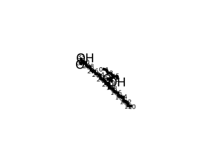 CCCCC(CC)C(=O)O.CCCCCCCCCCCCCCCCCCCCCC(=O)O